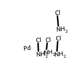 NCl.NCl.NCl.NCl.[Pd]